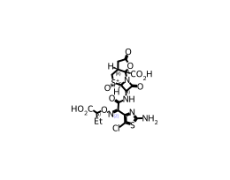 CC[C@H](O/N=C(\C(=O)N[C@@H]1C(=O)N2[C@@H]1[S@@+]([O-])C[C@@H]1CC(=O)O[C@@]12C(=O)O)c1nc(N)sc1Cl)C(=O)O